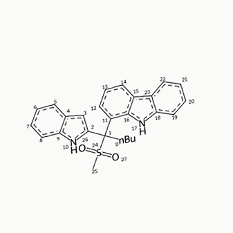 CCCCC(c1cc2ccccc2[nH]1)(c1cccc2c1[nH]c1ccccc12)S(C)(=O)=O